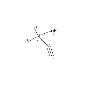 C#C[N+](C)(C)CCC